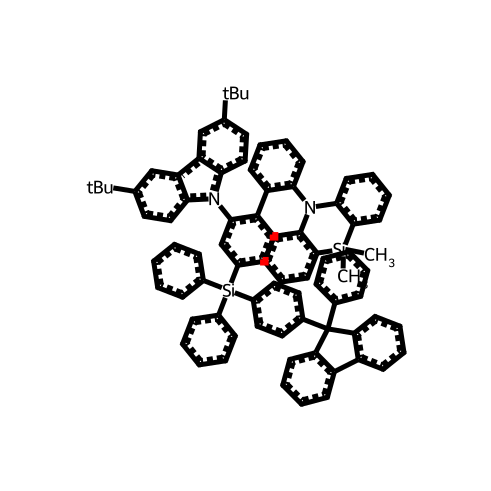 CC(C)(C)c1ccc2c(c1)c1cc(C(C)(C)C)ccc1n2-c1cc([Si](c2ccccc2)(c2ccccc2)c2ccc(C3(c4ccccc4)c4ccccc4-c4ccccc43)cc2)ccc1-c1ccccc1N1c2ccccc2[Si](C)(C)c2ccccc21